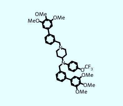 COc1cc(-c2cccc(CN3CCC(N(Cc4cccc(-c5cc(OC)c(OC)c(OC)c5)c4)c4ccc(OC(F)(F)F)cc4)CC3)c2)cc(OC)c1OC